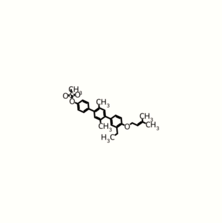 CCc1cc(-c2cc(C)c(-c3ccc(OS(C)(=O)=O)cc3)cc2C)ccc1OCC=C(C)C